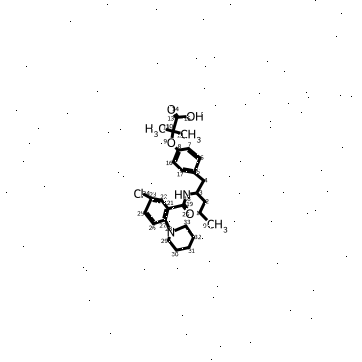 CCCC(Cc1ccc(OC(C)(C)C(=O)O)cc1)NC(=O)c1cc(Cl)ccc1N1CCCCC1